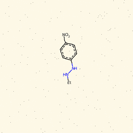 CCNNc1ccc([N+](=O)[O-])cc1